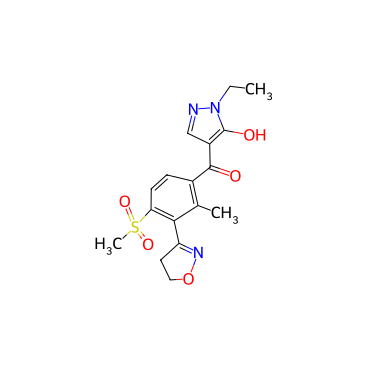 CCn1ncc(C(=O)c2ccc(S(C)(=O)=O)c(C3=NOCC3)c2C)c1O